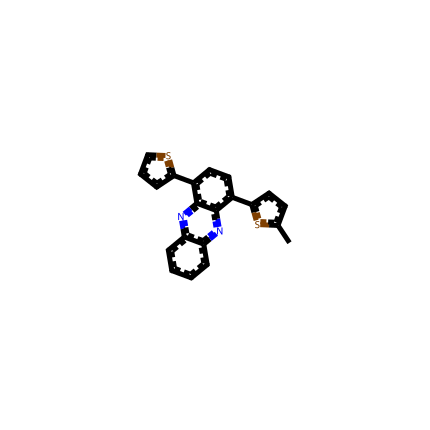 Cc1ccc(-c2ccc(-c3cccs3)c3nc4ccccc4nc23)s1